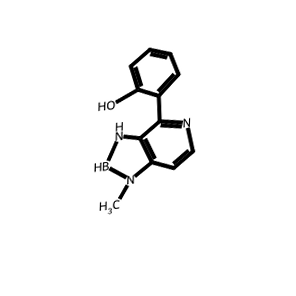 CN1BNc2c1ccnc2-c1ccccc1O